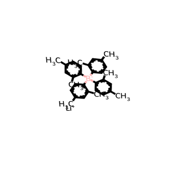 Cc1ccc([B-](c2ccc(C)cc2C)(c2ccc(C)cc2C)c2ccc(C)cc2C)c(C)c1.[Li+]